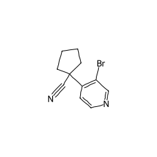 N#CC1(c2ccncc2Br)CCCC1